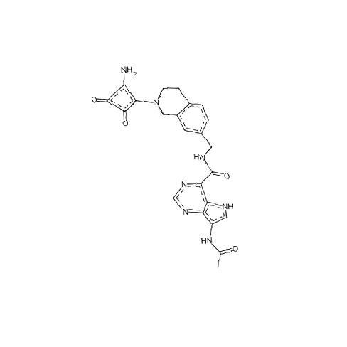 CC(=O)Nc1c[nH]c2c(C(=O)NCc3ccc4c(c3)CN(c3c(N)c(=O)c3=O)CC4)ncnc12